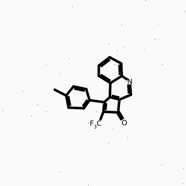 Cc1ccc(C2=C(C(F)(F)F)C(=O)c3cnc4ccccc4c32)cc1